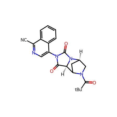 CC(C)(C)C(=O)N1C[C@H]2CC1[C@H]1C(=O)N(c3cnc(C#N)c4ccccc34)C(=O)N21